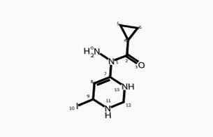 NN(C(=O)C1CC1)C1=CC(I)NCN1